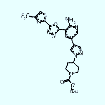 CC(C)(C)OC(=O)N1CCC(n2cc(-c3cnc(N)c(-c4nnc(-c5nc(C(F)(F)F)cs5)o4)c3)cn2)CC1